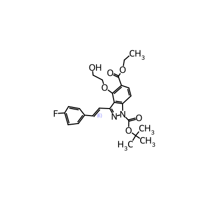 CCOC(=O)c1ccc2c(c(/C=C/c3ccc(F)cc3)nn2C(=O)OC(C)(C)C)c1OCCO